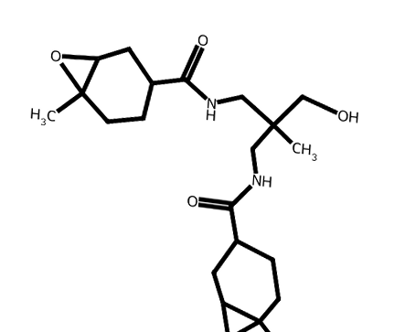 CC(CO)(CNC(=O)C1CCC2(C)OC2C1)CNC(=O)C1CCC2(C)OC2C1